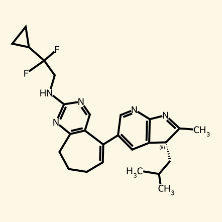 CC1=Nc2ncc(C3=CCCCc4nc(NCC(F)(F)C5CC5)ncc43)cc2[C@H]1CC(C)C